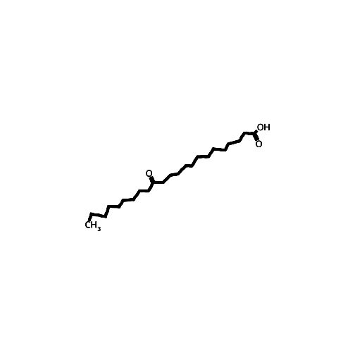 CCCCCCCCCC(=O)CCCCCCCCCCCCC(=O)O